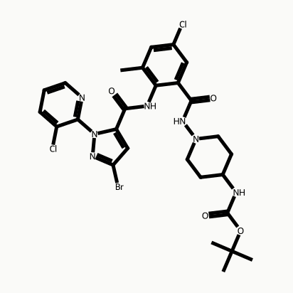 Cc1cc(Cl)cc(C(=O)NN2CCC(NC(=O)OC(C)(C)C)CC2)c1NC(=O)c1cc(Br)nn1-c1ncccc1Cl